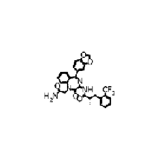 C[C@@H](Cc1ccccc1C(F)(F)F)C(=O)NC1N=C(c2ccc3c(c2)OCO3)c2ccccc2N(CC(N)=O)C1=O